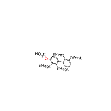 CCCCCCCc1c(OC(=O)O)ccc(-c2cccc(CCCCC)c2CCCCC)c1CCCCCCC